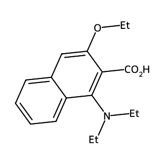 CCOc1cc2ccccc2c(N(CC)CC)c1C(=O)O